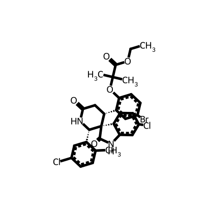 CCOC(=O)C(C)(C)Oc1ccc(Br)cc1[C@H]1CC(=O)N[C@@H](c2cc(Cl)ccc2C)[C@]12C(=O)Nc1cc(Cl)ccc12